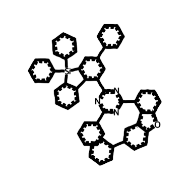 c1ccc(-c2cc(-c3nc(-c4ccccc4)nc(-c4cccc5oc6ccc(-c7ccccc7)cc6c45)n3)c3c(c2)[Si](c2ccccc2)(c2ccccc2)c2ccccc2-3)cc1